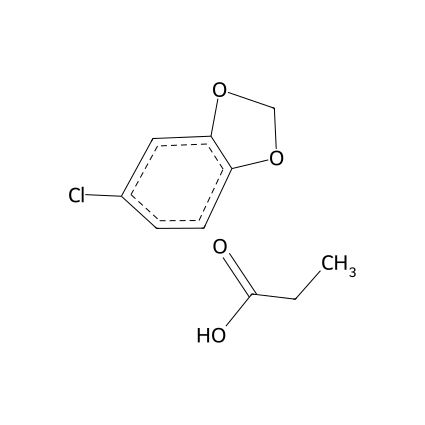 CCC(=O)O.Clc1ccc2c(c1)OCO2